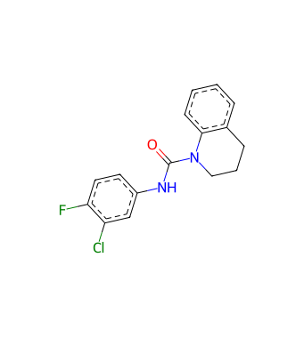 O=C(Nc1ccc(F)c(Cl)c1)N1CCCc2ccccc21